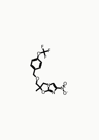 CC1(COCc2ccc(OC(F)(F)F)cc2)Cn2cc([N+](=O)[O-])nc2O1